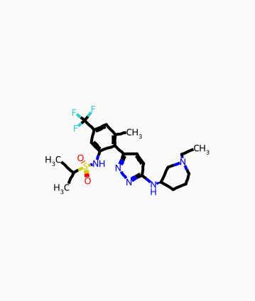 CCN1CCC[C@@H](Nc2ccc(-c3c(C)cc(C(F)(F)F)cc3NS(=O)(=O)C(C)C)nn2)C1